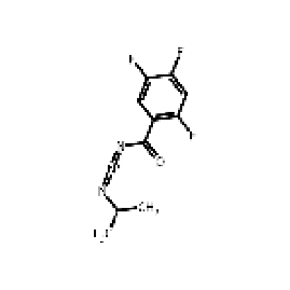 C[C@H](N=[N+]=NC(=O)c1cc(F)c(F)cc1F)C(F)(F)F